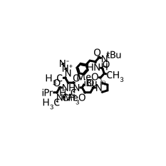 CCC(C)C(C(CC(=O)N1CCC[C@H]1C(OC)C(C)C(=O)NC(Cc1ccccc1)C(=O)NC(C)(C)C)OC)N(C)C(=O)C(NC(=O)C(C(C)C)N(C)C)C(C)N=[N+]=[N-]